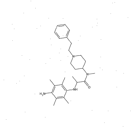 Cc1c(C)c(NC(C)C(=O)N(C)C2CCN(CCc3ccccc3)CC2)c(C)c(C)c1N